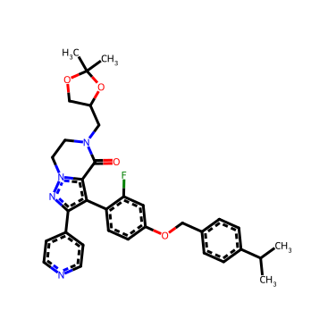 CC(C)c1ccc(COc2ccc(-c3c(-c4ccncc4)nn4c3C(=O)N(CC3COC(C)(C)O3)CC4)c(F)c2)cc1